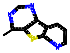 Cc1ncnc2c1sc1ncccc12